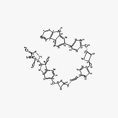 Cn1c2ccncc2c2ccc(-c3ccc(O[C@H]4C[C@H](Oc5ccc(C#CCN6CC(Oc7ccc8c(c7)CN(C7CCC(=O)NC7=O)C8=O)C6)nc5)C4)nc3)cc21